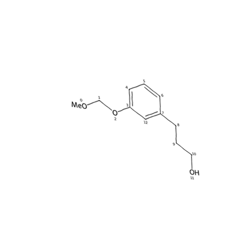 COCOc1cccc(CCCO)c1